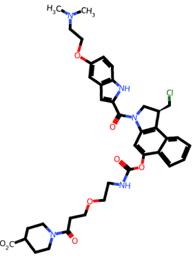 CN(C)CCOc1ccc2[nH]c(C(=O)N3C[C@@H](CCl)c4c3cc(OC(=O)NCCOCCC(=O)N3CCC(C(=O)O)CC3)c3ccccc43)cc2c1